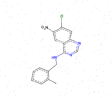 Cc1ccccc1CNc1ncnc2cc(Cl)c([N+](=O)[O-])cc12